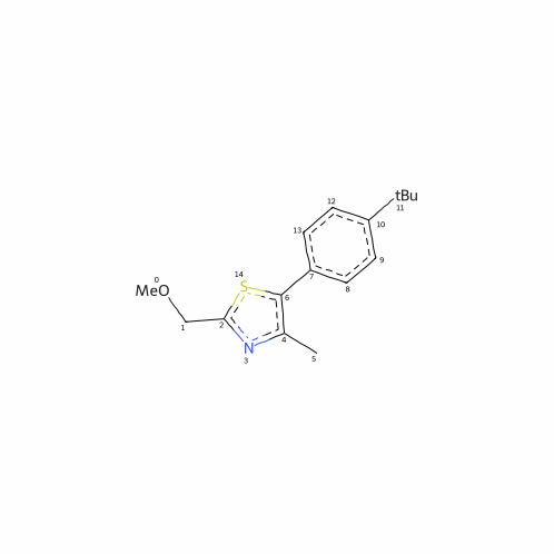 COCc1nc(C)c(-c2ccc(C(C)(C)C)cc2)s1